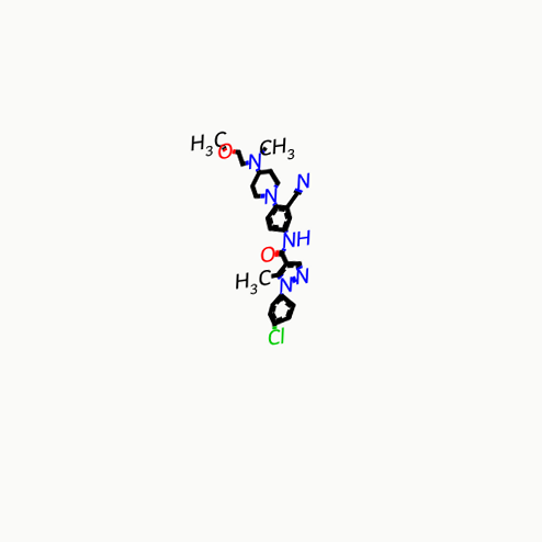 COCCN(C)C1CCN(c2ccc(NC(=O)c3cnn(-c4ccc(Cl)cc4)c3C)cc2C#N)CC1